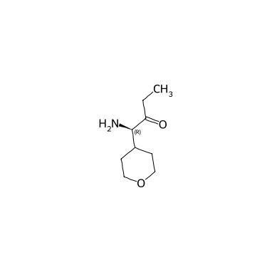 CCC(=O)[C@H](N)C1CCOCC1